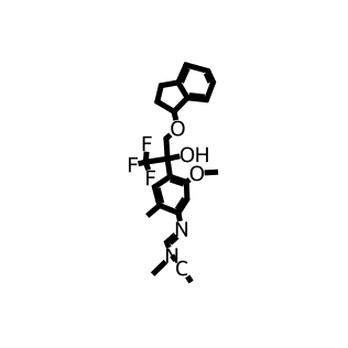 CCN(C)/C=N/c1cc(OC)c(C(O)(COC2CCc3ccccc32)C(F)(F)F)cc1C